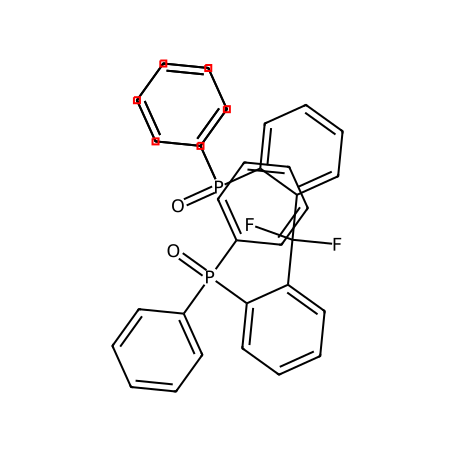 O=P(c1ccccc1)(c1ccccc1)c1ccccc1C(F)(F)c1ccccc1P(=O)(c1ccccc1)c1ccccc1